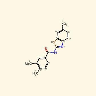 COc1cc(C(=O)Nc2nc3ccc([N+](=O)[O-])cc3s2)ccc1C